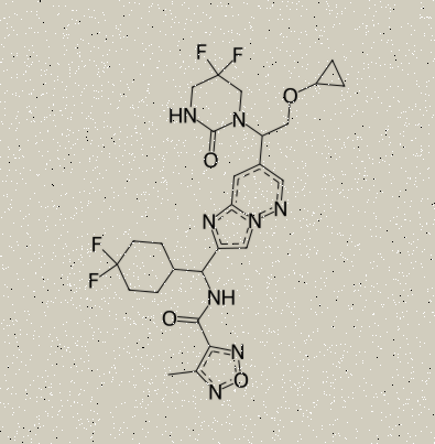 Cc1nonc1C(=O)NC(c1cn2ncc(C(COC3CC3)N3CC(F)(F)CNC3=O)cc2n1)C1CCC(F)(F)CC1